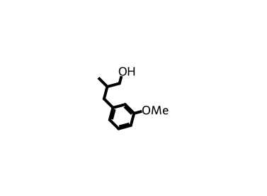 COc1cccc(CC(C)CO)c1